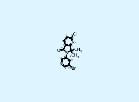 CC1(C)c2nc(Cl)ccc2C(=O)N1c1cncc(Br)c1